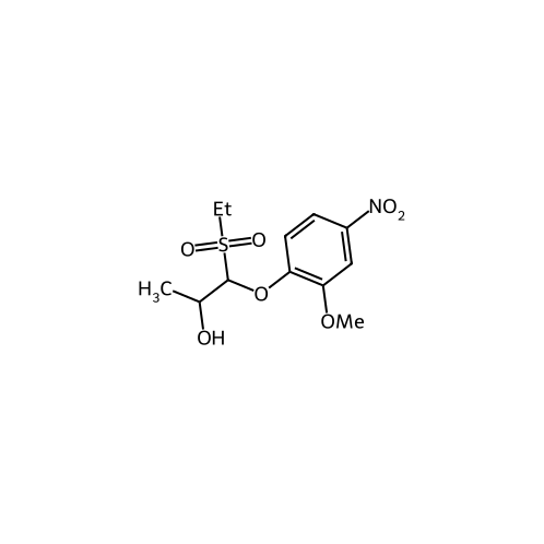 CCS(=O)(=O)C(Oc1ccc([N+](=O)[O-])cc1OC)C(C)O